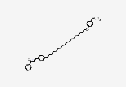 C=Cc1ccc(OCCCCCCCCCCCCCCCCCCc2ccc(/C=C/C(=O)c3ccccc3)cc2)cc1